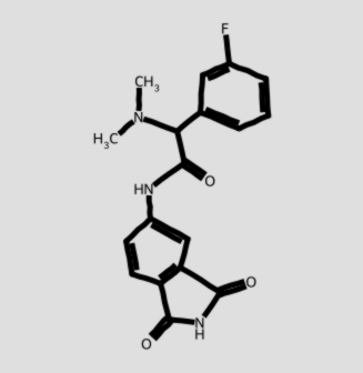 CN(C)C(C(=O)Nc1ccc2c(c1)C(=O)NC2=O)c1cccc(F)c1